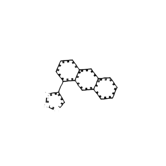 c1ccc2cc3c(-c4conn4)cccc3cc2c1